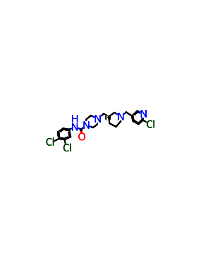 O=C(Nc1ccc(Cl)c(Cl)c1)N1CCN(C[C@@H]2CCCN(Cc3ccc(Cl)nc3)C2)CC1